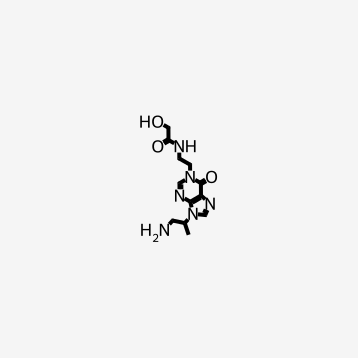 CC(CN)n1cnc2c(=O)n(CCNC(=O)CO)cnc21